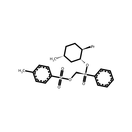 Cc1ccc(S(=O)(=O)OC[P@@](=O)(O[C@@H]2C[C@H](C)CC[C@H]2C(C)C)c2ccccc2)cc1